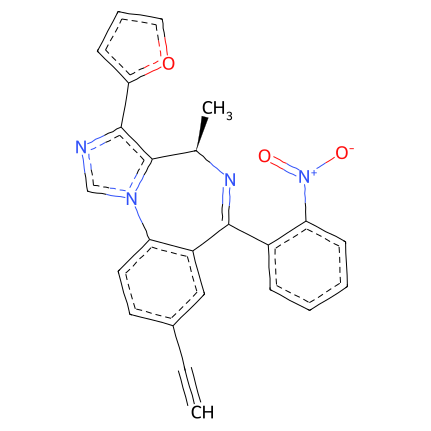 C#Cc1ccc2c(c1)C(c1ccccc1[N+](=O)[O-])=N[C@H](C)c1c(-c3ccco3)ncn1-2